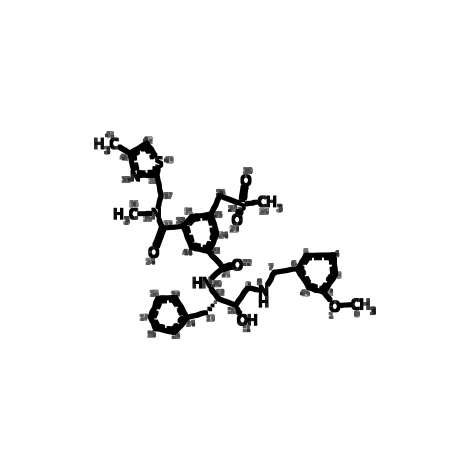 COc1cccc(CNC[C@@H](O)[C@H](Cc2ccccc2)NC(=O)c2cc(CS(C)(=O)=O)cc(C(=O)N(C)Cc3nc(C)cs3)c2)c1